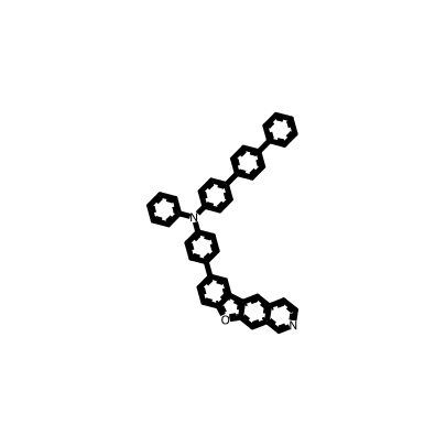 c1ccc(-c2ccc(-c3ccc(N(c4ccccc4)c4ccc(-c5ccc6oc7cc8cnccc8cc7c6c5)cc4)cc3)cc2)cc1